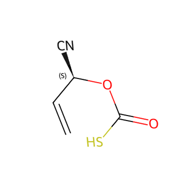 C=C[C@@H](C#N)OC(=O)S